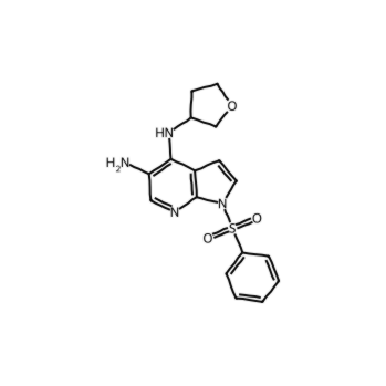 Nc1cnc2c(ccn2S(=O)(=O)c2ccccc2)c1NC1CCOC1